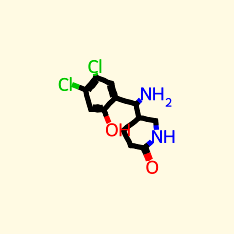 NC(c1cc(Cl)c(Cl)cc1O)C1CCC(=O)NC1